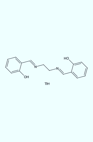 Oc1ccccc1/C=N/CC/N=C/c1ccccc1O.[TlH]